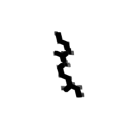 C=C\C=N/C(C)=N/C=C\C=C(/C)C=C